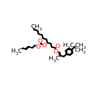 CCC=CCCOC(=O)OC(CCCCCCC)CCC(=O)OC=C(C)Cc1ccc(C(C)(C)C)cc1